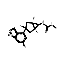 CNC(=O)NC1[C@H]2CC(O)(c3cc(Cl)cc4[nH]ncc34)C[C@@H]12